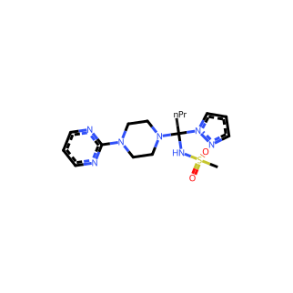 [CH2]CCC(NS(C)(=O)=O)(N1CCN(c2ncccn2)CC1)n1cccn1